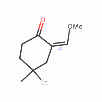 CCC1(C)CCC(=O)/C(=C\OC)C1